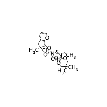 CCN(SN(C)C(=O)OC1=C2OC=CC=C2CC1(C)C)P1(=O)OCC(C)(C)CO1